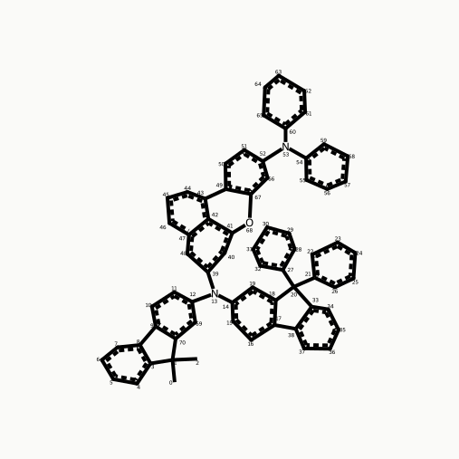 CC1(C)c2ccccc2-c2ccc(N(c3ccc4c(c3)C(c3ccccc3)(c3ccccc3)c3ccccc3-4)c3cc4c5c(cccc5c3)-c3ccc(N(c5ccccc5)c5ccccc5)cc3O4)cc21